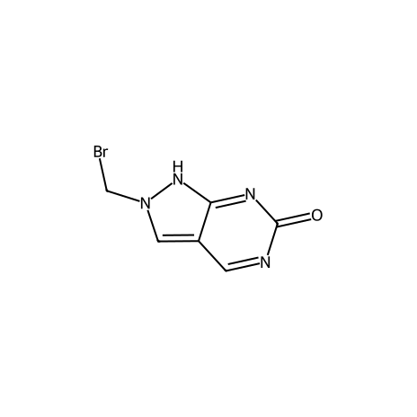 O=c1ncc2cn(CBr)[nH]c-2n1